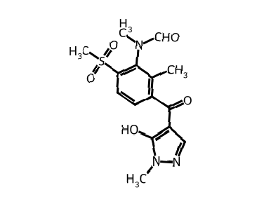 Cc1c(C(=O)c2cnn(C)c2O)ccc(S(C)(=O)=O)c1N(C)C=O